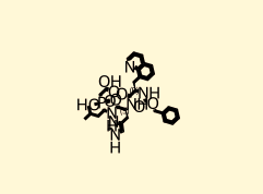 CC(C)CC(NC(=O)[C@H](Cc1c[nH]cn1)NC(=O)[C@@H](Cc1cccc2cccnc12)NC(=O)OCc1ccccc1)P(=O)(O)CC(=O)O